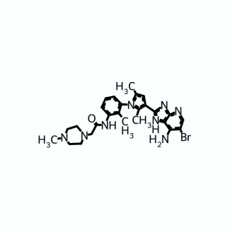 Cc1c(NC(=O)CN2CCN(C)CC2)cccc1-n1c(C)cc(-c2nc3ncc(Br)c(N)c3[nH]2)c1C